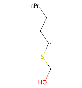 CCCCC[CH]SCO